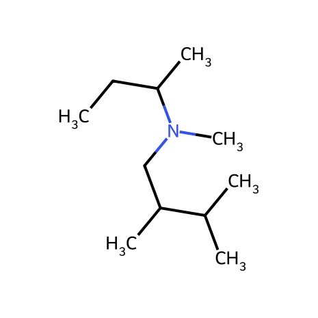 CCC(C)N(C)CC(C)C(C)C